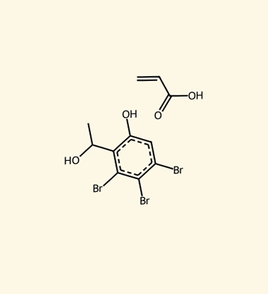 C=CC(=O)O.CC(O)c1c(O)cc(Br)c(Br)c1Br